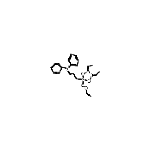 CCOO[Si](CCC[S+](c1ccccc1)c1ccccc1)(OOCC)OOCC